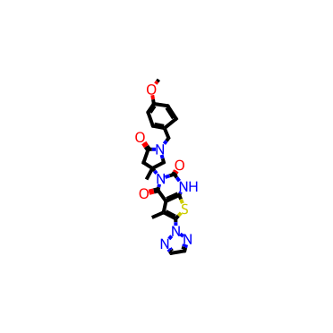 COc1ccc(CN2CC(C)(n3c(=O)[nH]c4sc(-n5nccn5)c(C)c4c3=O)CC2=O)cc1